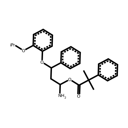 CC(C)Oc1ccccc1OC(CC(N)OC(=O)C(C)(C)c1ccccc1)c1ccccc1